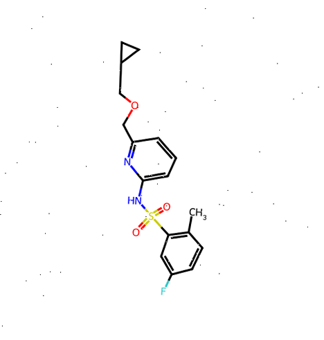 Cc1ccc(F)cc1S(=O)(=O)Nc1cccc(COCC2CC2)n1